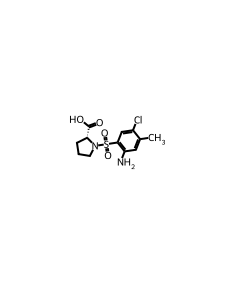 Cc1cc(N)c(S(=O)(=O)N2CCC[C@@H]2C(=O)O)cc1Cl